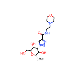 CS[C@@H]1OC(CO)[C@H](O)[C@H](n2cc(C(=O)NCCN3CCOCC3)nn2)C1O